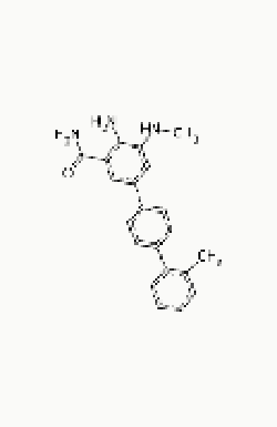 CNc1cc(-c2ccc(-c3ccccc3C)cc2)cc(C(N)=O)c1N